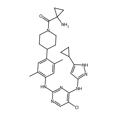 Cc1cc(C2CCN(C(=O)C3(N)CC3)CC2)c(C)cc1Nc1ncc(Cl)c(Nc2cc(C3CC3)[nH]n2)n1